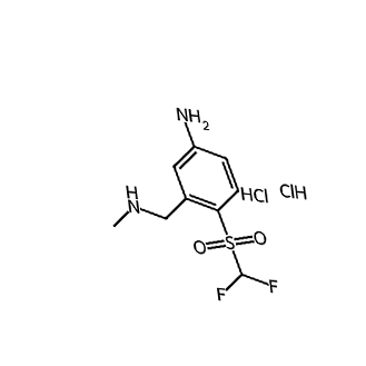 CNCc1cc(N)ccc1S(=O)(=O)C(F)F.Cl.Cl